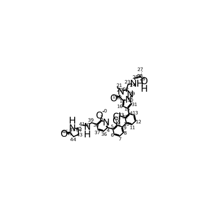 COc1nc(-c2cccc(-c3cccc(-c4cc5c(=O)n(C)c(CNC[C@H](C)O)nn5c4)c3Cl)c2Cl)ccc1CNC[C@@H]1CCC(=O)N1